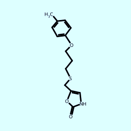 Cc1ccc(OCCCSCc2c[nH]c(=O)o2)cc1